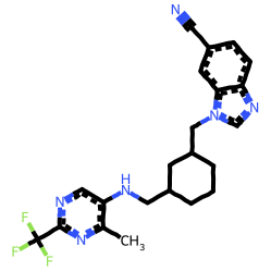 Cc1nc(C(F)(F)F)ncc1NCC1CCCC(Cn2cnc3ccc(C#N)cc32)C1